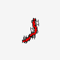 CC(CCCNC(=O)c1ccc(-c2nc3ccc(-c4ccc5nc(-c6ccc(C(=O)NCCN(C)C)cc6)[nH]c5c4)cc3[nH]2)cc1)CNC(=O)c1ccc(-c2nc3ccc(-c4ccc5nc(-c6ccc(C(=O)NCCN(C)C)cc6)[nH]c5c4)cc3[nH]2)cc1